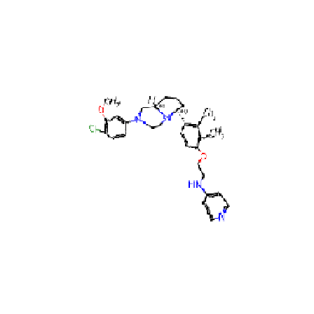 COc1cc(N2CCN3[C@@H](CCC[C@@H]3c3ccc(OCCNc4ccncc4)c(C)c3C)C2)ccc1Cl